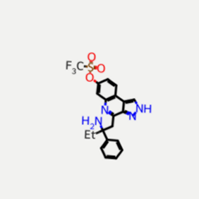 CCC(N)(Cc1nc2cc(OS(=O)(=O)C(F)(F)F)ccc2c2c[nH]nc12)c1ccccc1